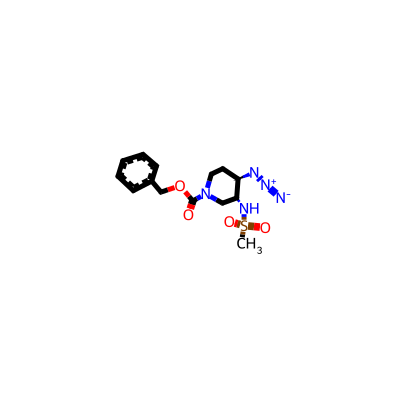 CS(=O)(=O)N[C@@H]1CN(C(=O)OCc2ccccc2)CC[C@H]1N=[N+]=[N-]